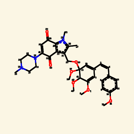 COC1=CC(/C=C\c2ccc(OC)cc2)=CC(OC)(OCc2c3c(n(C)c2C)C(=O)C=C(N2CCN(C)CC2)C3=O)C1OC